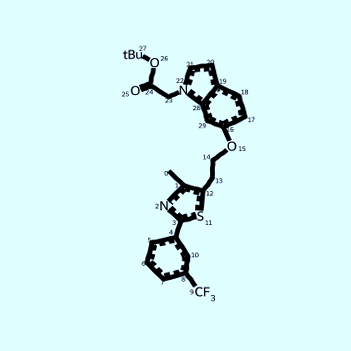 Cc1nc(-c2cccc(C(F)(F)F)c2)sc1CCOc1ccc2ccn(CC(=O)OC(C)(C)C)c2c1